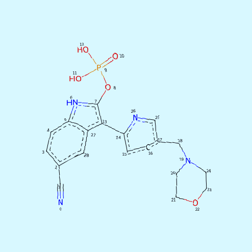 N#Cc1ccc2[nH]c(OP(=O)(O)O)c(-c3ccc(CN4CCOCC4)cn3)c2c1